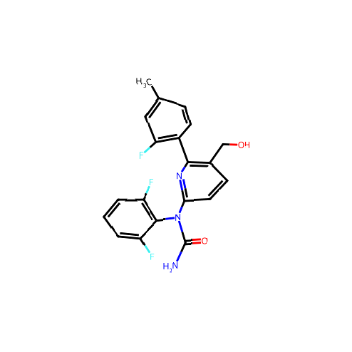 Cc1ccc(-c2nc(N(C(N)=O)c3c(F)cccc3F)ccc2CO)c(F)c1